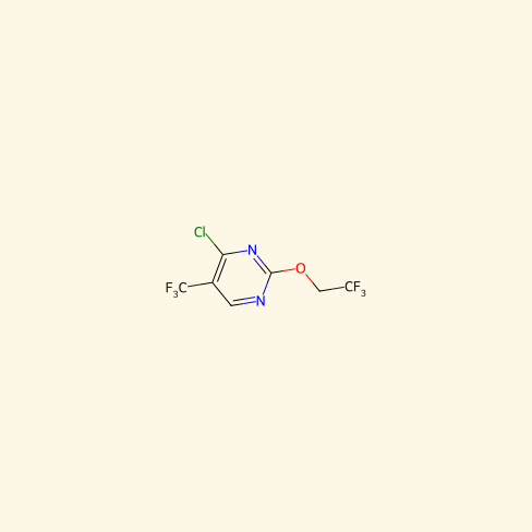 FC(F)(F)COc1ncc(C(F)(F)F)c(Cl)n1